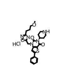 COCCCc1noc(Cn2c(=O)n(C3CCNCC3)c(=O)c3sc(-c4ccccc4)cc32)n1.Cl